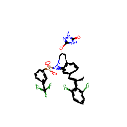 C/C(=C\c1ccc2c(c1)N(S(=O)(=O)c1cccc(C(F)(F)F)c1)C[C@H](Oc1n[nH]c(=O)[nH]1)C2)c1c(F)cccc1Cl